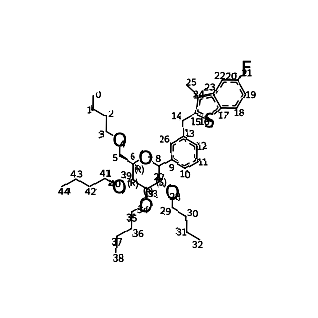 CCCCOC[C@H]1OC(c2cccc(Cc3sc4ccc(F)cc4c3C)c2)[C@H](OCCCC)[C@@H](OCCCC)[C@@H]1OCCCC